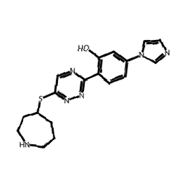 Oc1cc(-n2ccnc2)ccc1-c1ncc(SC2CCCNCC2)nn1